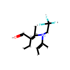 C/C=C(\C)N(CC(F)(F)F)/C(C)=C(/C=O)CC